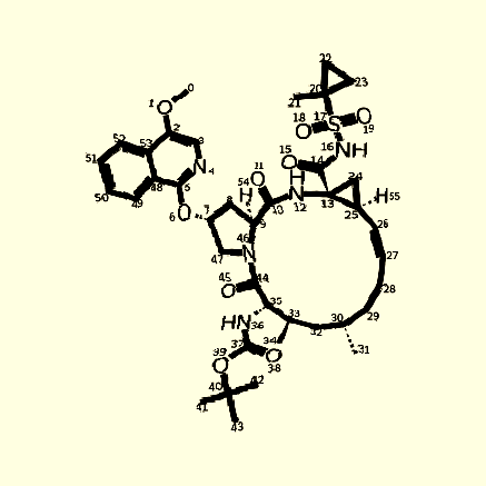 COc1cnc(O[C@@H]2C[C@H]3C(=O)N[C@]4(C(=O)NS(=O)(=O)C5(C)CC5)C[C@H]4/C=C\CC[C@H](C)C[C@@H](C)[C@H](NC(=O)OC(C)(C)C)C(=O)N3C2)c2ccccc12